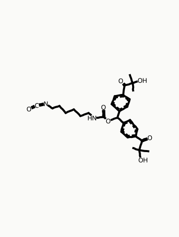 CC(C)(O)C(=O)c1ccc(C(OC(=O)NCCCCCCN=C=O)c2ccc(C(=O)C(C)(C)O)cc2)cc1